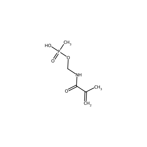 C=C(C)C(=O)NCOP(C)(=O)O